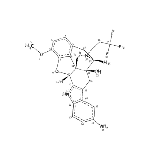 COc1ccc2c3c1O[C@H]1c4[nH]c5ccc(N)cc5c4C[C@@]4(O)[C@@H](C2)N(CC(F)(F)F)CC[C@]314